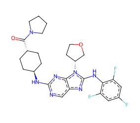 O=C([C@H]1CC[C@H](Nc2ncc3nc(Nc4c(F)cc(F)cc4F)n([C@@H]4CCOC4)c3n2)CC1)N1CCCC1